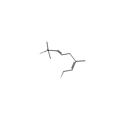 CC(=CCCl)CC=CC(C)(C)Cl